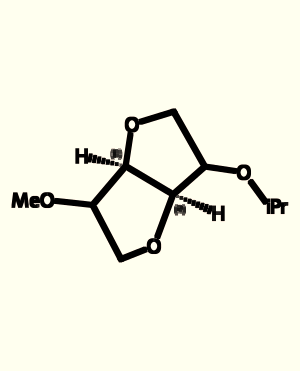 COC1CO[C@@H]2C(OC(C)C)CO[C@H]12